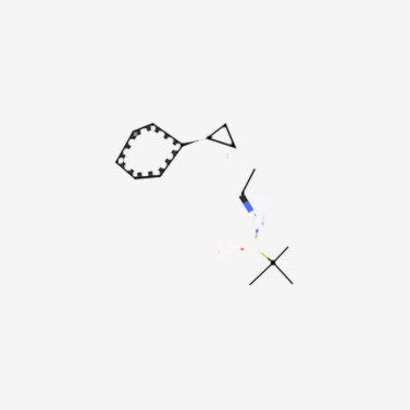 CC(C)(C)[S@@+]([O-])/N=C/C[C@H]1C[C@@H]1c1ccccc1